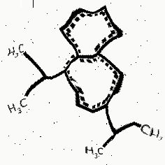 CC(C)c1[c]c2ccccc2c(C(C)C)c1